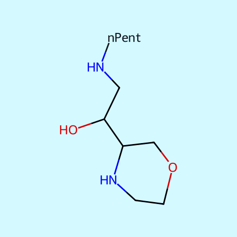 CCCCCNCC(O)C1COCCN1